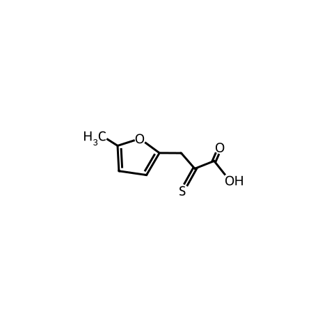 Cc1ccc(CC(=S)C(=O)O)o1